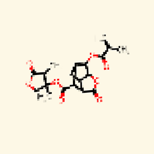 C=C(C)C(=O)OC1C2CC3C1OC(=O)C3C2C(=O)OC1(C)COC(=O)C1C